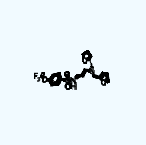 O=S(=O)(NCCCN(Cc1ccco1)C[C@H]1CCCO1)c1ccc(OC(F)(F)F)cc1